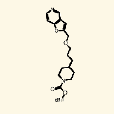 CC(C)(C)OC(=O)N1CCC(CCCOCc2cc3cnccc3o2)CC1